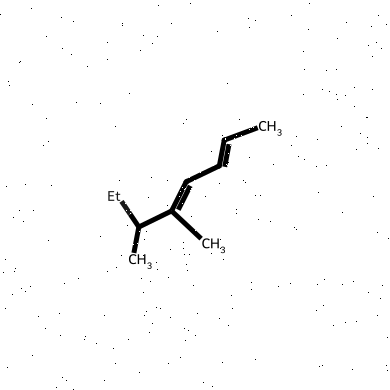 CC=CC=C(C)C(C)CC